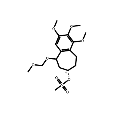 COCOC1C[C@@H](OS(C)(=O)=O)CCc2c1cc(OC)c(OC)c2OC